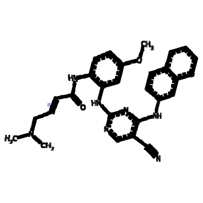 COc1ccc(NC(=O)/C=C/CN(C)C)c(Nc2ncc(C#N)c(Nc3ccc4ccccc4c3)n2)c1